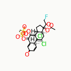 CC(=O)O[C@]1(C(=O)CF)CC[C@H]2[C@@H]3[C@@H](OS(C)(=O)=O)[C@@H](OS(C)(=O)=O)C4=CC(=O)C=C[C@]4(C)[C@@]3(Cl)[C@@H](Cl)C[C@@]21C